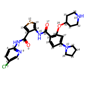 O=C(Nc1ccc(Cl)cn1)c1cscc1NC(=O)c1ccc(N2CCCC2)cc1OC1CCNCC1